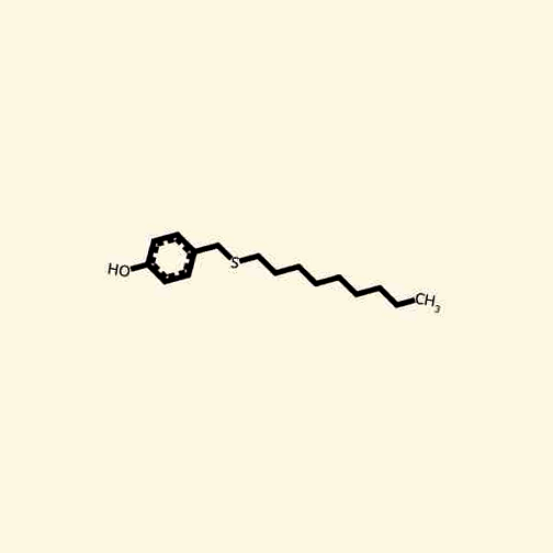 CCCCCCCCCSCc1ccc(O)cc1